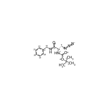 CC(C)(C)OC(=O)N[C@@H](CN=[N+]=[N-])C(=O)NCc1ccccc1